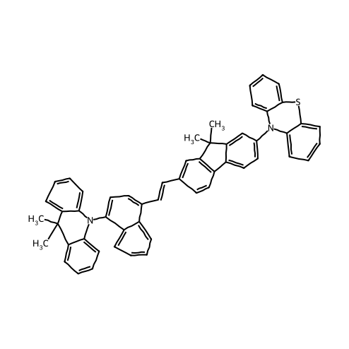 CC1(C)c2cc(/C=C/c3ccc(N4c5ccccc5C(C)(C)c5ccccc54)c4ccccc34)ccc2-c2ccc(N3c4ccccc4Sc4ccccc43)cc21